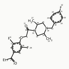 CCC(=O)c1cc(F)c(OCC(=O)N2CC(C)N(Cc3ccc(F)cc3)CC2C)c(F)c1